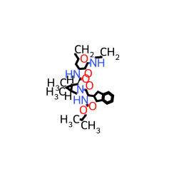 C=CCCC(NC(=O)[C@@H]1[C@H]2[C@@H](CN1C(=O)[C@@H](NC(=O)OCC(C)C)C1Cc3ccccc3C1)C2(C)C)C(=O)C(=O)NCC=C